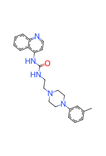 Cc1cccc(N2CCN(CCNC(=O)Nc3ccnc4ccccc34)CC2)c1